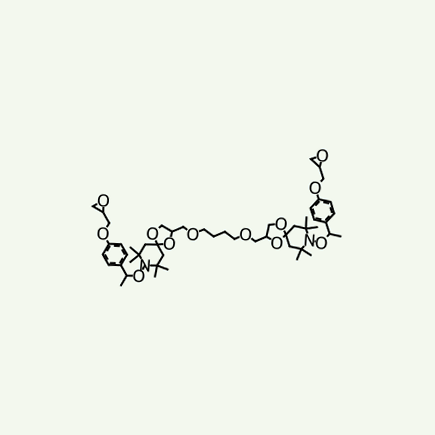 CC(ON1C(C)(C)CC2(CC1(C)C)OCC(COCCCCOCC1COC3(CC(C)(C)N(OC(C)c4ccc(OCC5CO5)cc4)C(C)(C)C3)O1)O2)c1ccc(OCC2CO2)cc1